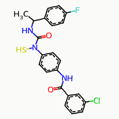 CC(NC(=O)N(S)c1ccc(NC(=O)c2cccc(Cl)c2)cc1)c1ccc(F)cc1